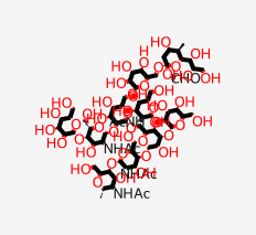 CC(=O)NC1C(O)[C@H](O[C@@H]2OC(CO)[C@H](O)[C@H](O)C2O)[C@H](CO)O[C@H]1OC1[C@@H](OCC2O[C@@H](O[C@@H]3C(CO)O[C@@H](O[C@@H]4C(CO)O[C@@H](C)C(NC(C)=O)[C@H]4O)C(NC(C)=O)[C@H]3O)C(O)[C@@H](O[C@H]3OC(CO)[C@@H](O)C(O)C3O[C@@H]3OC(CO)[C@@H](O[C@@H]4OC(CO[C@]5(OC=O)C[C@@H](O)[C@@H](C)C([C@H](O)[C@H](O)CO)O5)[C@H](O)[C@H](O)C4O)[C@H](O)C3NC(C)=O)[C@@H]2O)OC(CO)[C@@H](O)[C@@H]1O